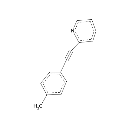 [CH2]c1ccc(C#Cc2ccccn2)cc1